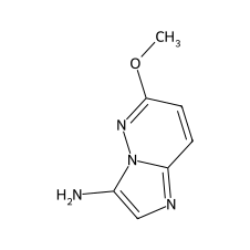 COc1ccc2ncc(N)n2n1